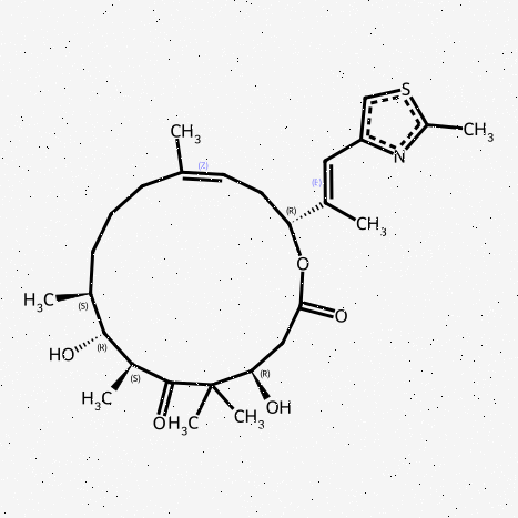 C/C1=C/C[C@H](/C(C)=C/c2csc(C)n2)OC(=O)C[C@@H](O)C(C)(C)C(=O)[C@@H](C)[C@H](O)[C@@H](C)CCC1